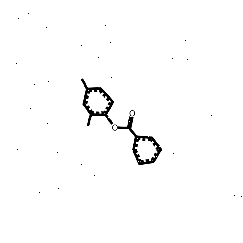 Cc1ccc(OC(=O)c2ccccc2)c(C)c1